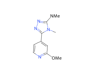 CNc1nnc(-c2ccnc(OC)c2)n1C